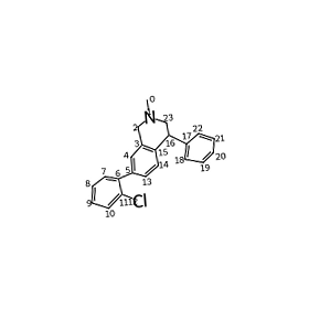 CN1Cc2cc(-c3ccccc3Cl)ccc2C(c2ccccc2)C1